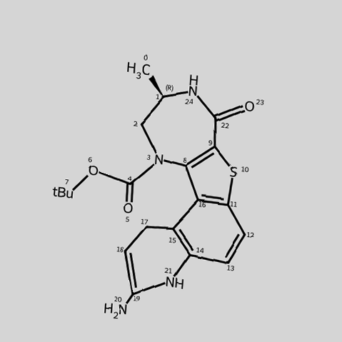 C[C@@H]1CN(C(=O)OC(C)(C)C)c2c(sc3ccc4c(c23)CC=C(N)N4)C(=O)N1